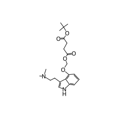 CN(C)CCc1c[nH]c2cccc(OCOC(=O)CCC(=O)OC(C)(C)C)c12